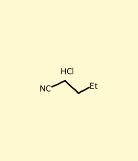 CCCCC#N.Cl